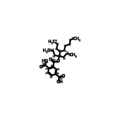 CCCCCC(CCC)C(CCC)(CCC)OC(=O)c1cc(C(=O)O)ccc1C(=O)O